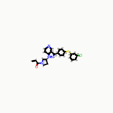 C=CC(=O)N1CC[C@H](n2nc(-c3ccc(Sc4cccc(Cl)c4)cc3)c3cnccc32)C1